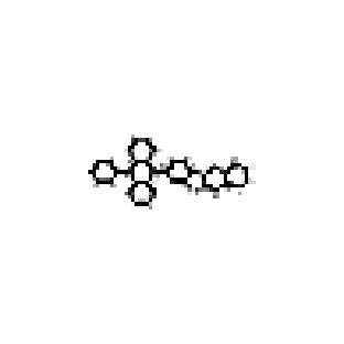 c1ccc(-c2c3ccccc3c(-c3ccc4c(c3)oc3cc5ccccc5cc34)c3ccccc23)cc1